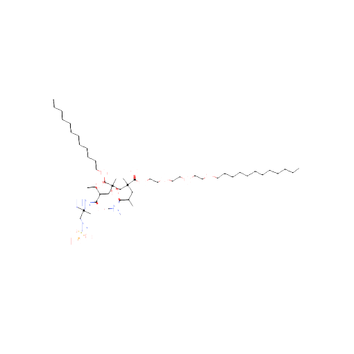 CCCCCCCCCCCCOCCOCCOCCOC(=O)C(C)(CC(C)C(=O)N(C)C)CC(C)(CC(CC)C(=O)NC(C)(C)CNS(=O)(=O)O)C(=O)OCCCCCCCCCCCC